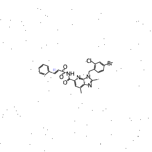 Cc1cc(C(=O)NS(=O)(=O)/C=C/c2ccccc2)nc2c1nc(C)n2Cc1ccc(Br)cc1Cl